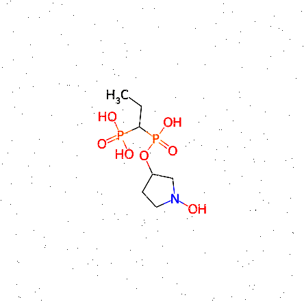 CCC(P(=O)(O)O)P(=O)(O)OC1CCN(O)C1